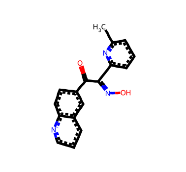 Cc1cccc(C(=NO)C(=O)c2ccc3ncccc3c2)n1